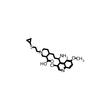 COc1ccc2ncc(Cl)c([C@H](N)CCC3CCN(CCSC4CC4)CC3C(=O)O)c2c1